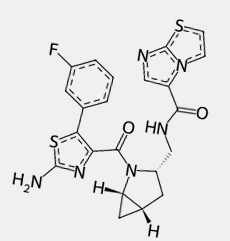 Nc1nc(C(=O)N2[C@H](CNC(=O)c3cnc4sccn34)C[C@@H]3C[C@@H]32)c(-c2cccc(F)c2)s1